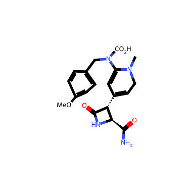 COc1ccc(CN(C(=O)O)C2=CC([C@H]3C(=O)N[C@@H]3C(N)=O)=CCN2C)cc1